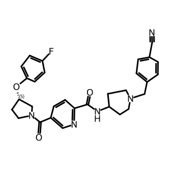 N#Cc1ccc(CN2CCC(NC(=O)c3ccc(C(=O)N4CC[C@H](Oc5ccc(F)cc5)C4)cn3)CC2)cc1